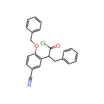 N#Cc1ccc(OCc2ccccc2)c(C(Cc2ccccc2)C(=O)Cl)c1